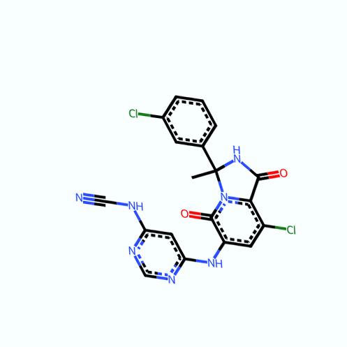 CC1(c2cccc(Cl)c2)NC(=O)c2c(Cl)cc(Nc3cc(NC#N)ncn3)c(=O)n21